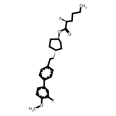 CCCC[C@H](F)C(=O)O[C@H]1CC[C@H](CCc2ccc(-c3ccc(OC)c(F)c3)cc2)CC1